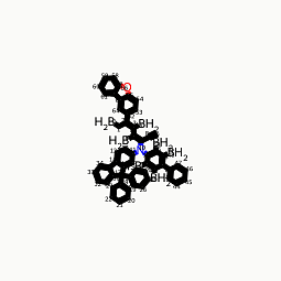 BC/C(=C(B)\C(B)=C(/C#C)N(c1ccc2c(c1)C(c1ccccc1)(c1ccccc1)c1ccccc1-2)c1c(B)c(B)c(-c2ccccc2)c(B)c1B)c1ccc2oc3ccccc3c2c1